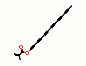 C=C(C)C(=O)OC#CC#CC#CC#CC#CC#CC